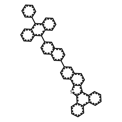 c1ccc(-c2c3ccccc3c(-c3ccc4cc(-c5ccc6c(ccc7c6sc6c8ccccc8c8ccccc8c76)c5)ccc4c3)c3ccccc23)cc1